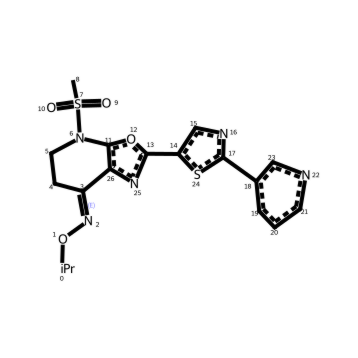 CC(C)O/N=C1\CCN(S(C)(=O)=O)c2oc(-c3cnc(-c4cccnc4)s3)nc21